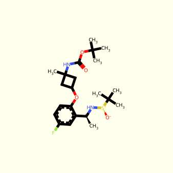 C[C@H](N[S@+]([O-])C(C)(C)C)c1cc(F)ccc1OC1CC(C)(NC(=O)OC(C)(C)C)C1